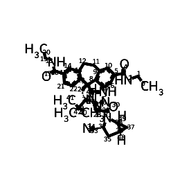 CCNC(=O)c1ccc2c(c1)CCc1cc(C(=O)NCC)ccc1C2(C[C@H](NCC(=O)N1[C@H](C#N)C[C@@H]2C[C@@H]21)C(C)(C)C)c1nnn[nH]1